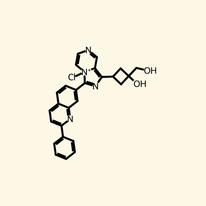 OCC1(O)CC(C2=C3C=NC=C[N+]3(Cl)C(c3ccc4ccc(-c5ccccc5)nc4c3)=N2)C1